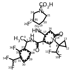 CC(NC(=O)c1cn(C2(C(F)F)CC2)c(=O)cc1N[C@H]1CCN(C(=O)O)C[C@H]1F)c1cccc(C(F)F)c1F